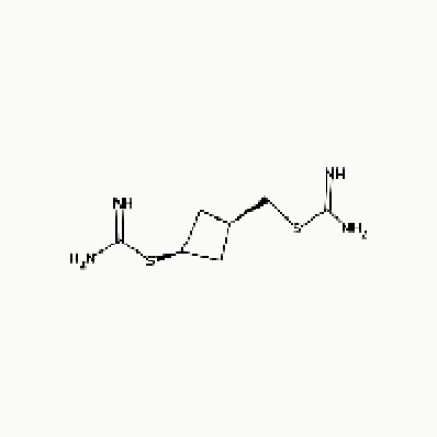 N=C(N)SC[C@H]1C[C@@H](SC(=N)N)C1